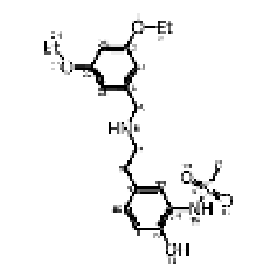 CCOc1cc(CNCCc2ccc(O)c(NS(C)(=O)=O)c2)cc(OCC)c1